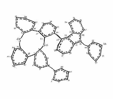 c1ccc(-c2ccc3c(c2)Sc2c(cccc2-c2cccc4c2c2ccccc2n4-c2ccccc2)-c2ccccc2Sc2ccccc2-3)cc1